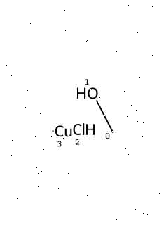 CO.Cl.[Cu]